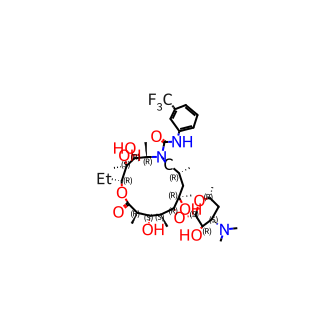 CC[C@H]1OC(=O)[C@H](C)[C@@H](O)[C@H](C)[C@@H](O[C@@H]2O[C@H](C)C[C@H](N(C)C)[C@H]2O)[C@](C)(O)C[C@@H](C)CN(C(=O)Nc2cccc(C(F)(F)F)c2)[C@H](C)[C@@H](O)[C@]1(C)O